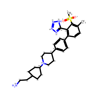 CS(=O)(=O)c1c(C(F)(F)F)ccc(-c2ccc(C3CCN(C4CCC(CCN)CC4)CC3)cc2)c1-c1nnn[nH]1